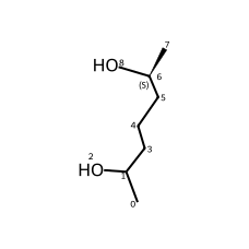 CC(O)CCC[C@H](C)O